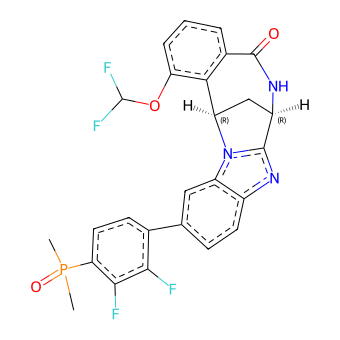 CP(C)(=O)c1ccc(-c2ccc3nc4n(c3c2)[C@@H]2C[C@H]4NC(=O)c3cccc(OC(F)F)c32)c(F)c1F